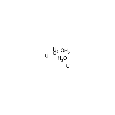 O.O.O.[U].[U]